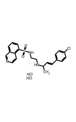 CC(C=Cc1ccc(Cl)cc1)NCCNS(=O)(=O)c1cccc2cnccc12.Cl.Cl